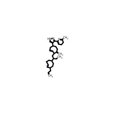 C=CCC1/C=C/CCC(C(CC)CC2/C=C/CC(c3c[nH]nc3C3=CCCC(C)=N3)CCC2=C)CC1